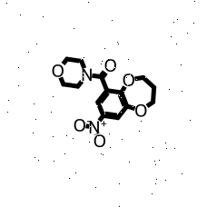 O=C(c1cc([N+](=O)[O-])cc2c1OCCCO2)N1CCOCC1